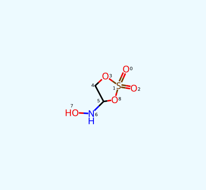 O=S1(=O)OCC(NO)O1